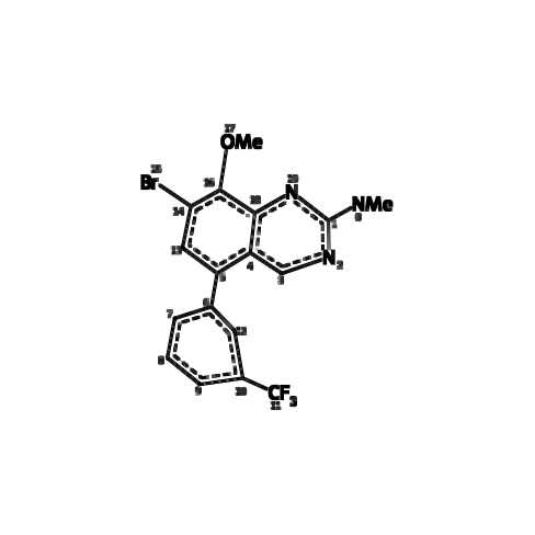 CNc1ncc2c(-c3cccc(C(F)(F)F)c3)cc(Br)c(OC)c2n1